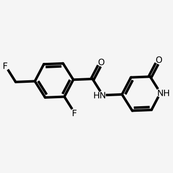 O=C(Nc1cc[nH]c(=O)c1)c1ccc(CF)cc1F